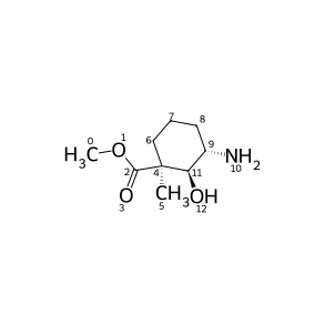 COC(=O)[C@@]1(C)CCC[C@H](N)[C@H]1O